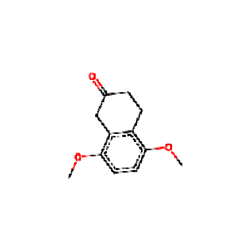 COc1ccc(OC)c2c1CCC(=O)C2